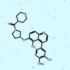 COc1ncc(-c2ccnc3ccc(O[C@H]4CCN(C(=O)C5CCOCC5)C4)c(C)c23)cc1C#N